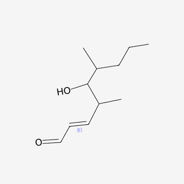 CCCC(C)C(O)C(C)/C=C/C=O